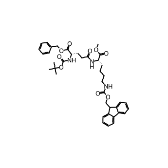 COC(=O)[C@H](CCCCNC(=O)OCC1c2ccccc2-c2ccccc21)NC(=O)CC[C@H](NC(=O)OC(C)(C)C)C(=O)OCc1ccccc1